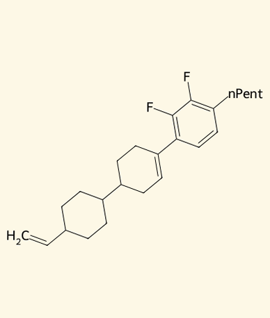 C=CC1CCC(C2CC=C(c3ccc(CCCCC)c(F)c3F)CC2)CC1